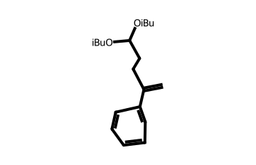 C=C(CCC(OCC(C)C)OCC(C)C)c1ccccc1